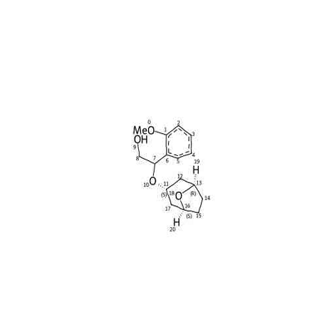 COc1ccccc1C(CO)O[C@@H]1C[C@H]2CC[C@@H](C1)O2